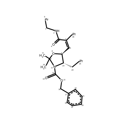 CC(C)CNC(=O)C(=C[C@@H]1OC(C)(C)N(C(=O)OCc2ccccc2)[C@H]1CC(C)C)C(C)C